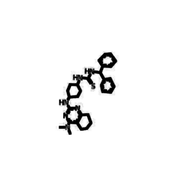 CN(C)c1nc(NC2CCC(NC(=S)NC(c3ccccc3)c3ccccc3)CC2)nc2c1CCCC2